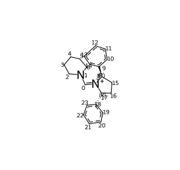 C(N1CCCCC1)=[N+]1[C@@H](c2ccccc2)CC[C@@H]1c1ccccc1